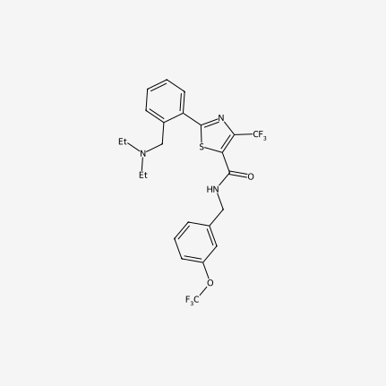 CCN(CC)Cc1ccccc1-c1nc(C(F)(F)F)c(C(=O)NCc2cccc(OC(F)(F)F)c2)s1